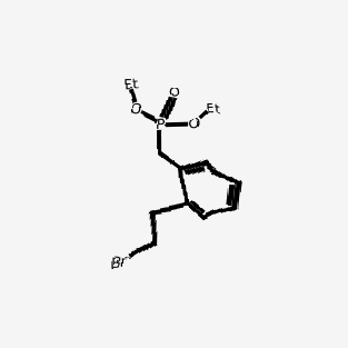 CCOP(=O)(Cc1ccccc1CCBr)OCC